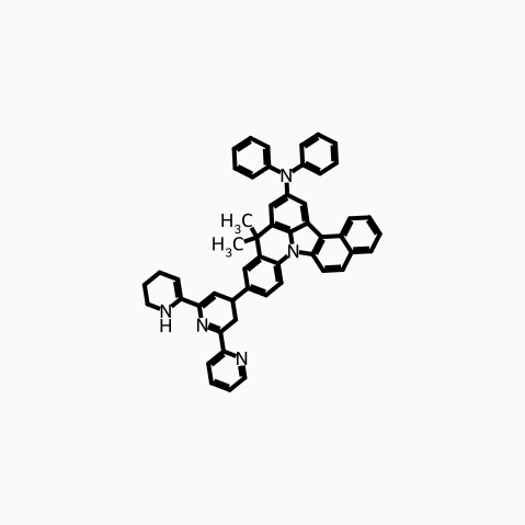 CC1(C)c2cc(C3C=C(C4=CCCCN4)N=C(c4ccccn4)C3)ccc2-n2c3ccc4ccccc4c3c3cc(N(c4ccccc4)c4ccccc4)cc1c32